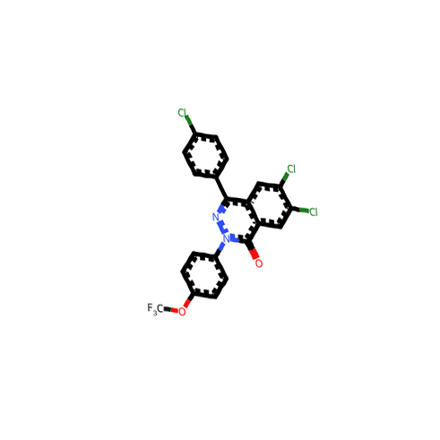 O=c1c2cc(Cl)c(Cl)cc2c(-c2ccc(Cl)cc2)nn1-c1ccc(OC(F)(F)F)cc1